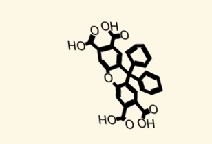 O=C(O)c1cc2c(cc1C(=O)O)C(c1ccccc1)(c1ccccc1)c1cc(C(=O)O)c(C(=O)O)cc1O2